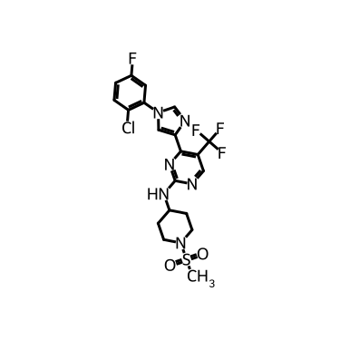 CS(=O)(=O)N1CCC(Nc2ncc(C(F)(F)F)c(-c3cn(-c4cc(F)ccc4Cl)cn3)n2)CC1